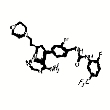 Nc1ncnn2c(CCN3CCOCC3)cc(-c3ccc(NC(=O)Nc4cc(C(F)(F)F)ccc4F)c(F)c3)c12